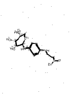 CCN(CC)CCNc1ccc(N[C@@H]2OC[C@@H](O)[C@@H](O)[C@H]2O)cc1